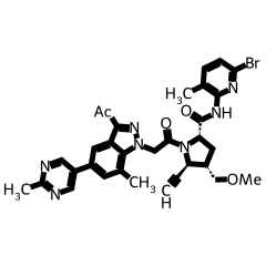 C#C[C@@H]1[C@@H](COC)C[C@@H](C(=O)Nc2nc(Br)ccc2C)N1C(=O)Cn1nc(C(C)=O)c2cc(-c3cnc(C)nc3)cc(C)c21